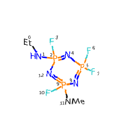 CCNP1(F)=NP(F)(F)=NP(F)(NC)=N1